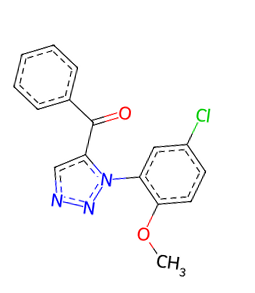 COc1ccc(Cl)cc1-n1nncc1C(=O)c1ccccc1